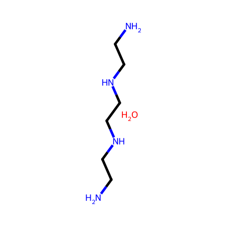 NCCNCCNCCN.O